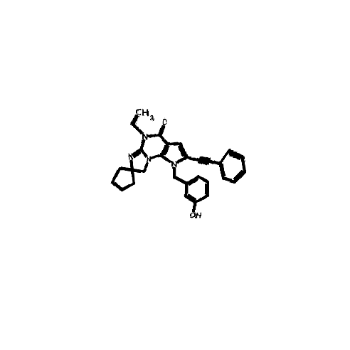 CCN1C(=O)c2cc(C#Cc3ccccc3)n(Cc3cccc(O)c3)c2N2CC3(CCCC3)N=C12